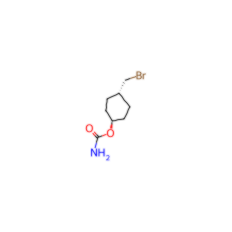 NC(=O)O[C@H]1CC[C@H](CBr)CC1